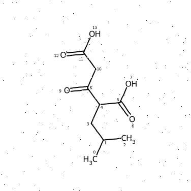 CC(C)CC(C(=O)O)C(=O)CC(=O)O